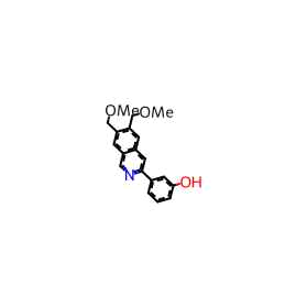 COCc1cc2cnc(-c3cccc(O)c3)cc2cc1COC